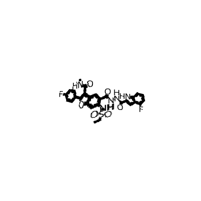 CCS(=O)(=O)Nc1cc2oc(-c3ccc(F)cc3)c(C(=O)NC)c2cc1C(=O)NNC(=O)c1cc2c(F)cccc2[nH]1